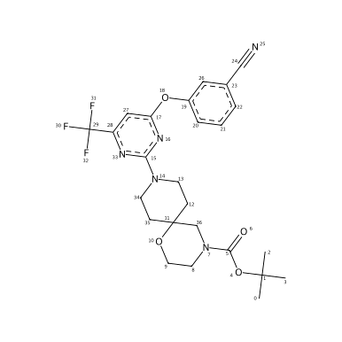 CC(C)(C)OC(=O)N1CCOC2(CCN(c3nc(Oc4cccc(C#N)c4)cc(C(F)(F)F)n3)CC2)C1